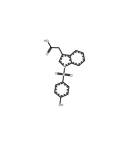 O=C(O)Cc1cn(S(=O)(=O)c2ccc(O)cc2)c2ccccc12